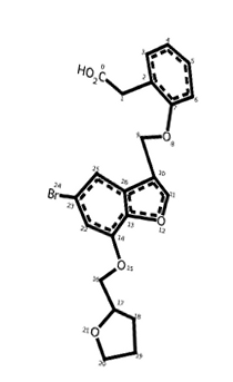 O=C(O)Cc1ccccc1OCc1coc2c(OCC3CCCO3)cc(Br)cc12